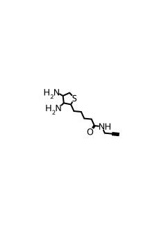 C#CCNC(=O)CCCCC1SCC(N)C1N